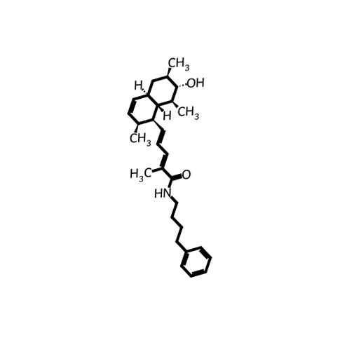 C/C(=C\C=C\[C@@H]1[C@H]2[C@H](C)[C@@H](O)[C@H](C)C[C@@H]2C=C[C@@H]1C)C(=O)NCCCCc1ccccc1